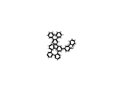 c1ccc2c(c1)-c1ccccc1-c1cc(-c3ccc4oc5ccccc5c4c3)cc(-c3ccc4c5ccccc5c5ccccc5c4c3)c1-c1ccccc1-2